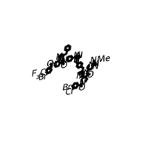 CNc1nnc2cc(-n3c(=O)c4c(n5ncc(Cc6ccc(Cn7cnnc7-c7ccc(-n8c(=O)c9c(n%10ncc(Cc%11ccccc%11)c8%10)CN(C(=O)c8ccc(Br)c(C(F)(F)F)c8)CC9)cc7)cc6)c35)CN(C(=O)c3ccc(Br)c(Cl)c3)CC4)ccn12